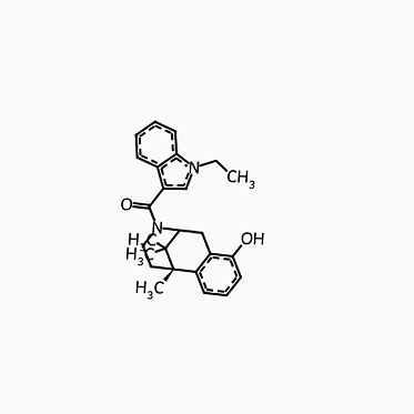 CCn1cc(C(=O)N2CC[C@@]3(C)c4cccc(O)c4CC2C3(C)C)c2ccccc21